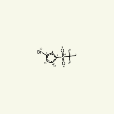 CC(C)(C)S(=O)(=O)c1cc(Br)cs1